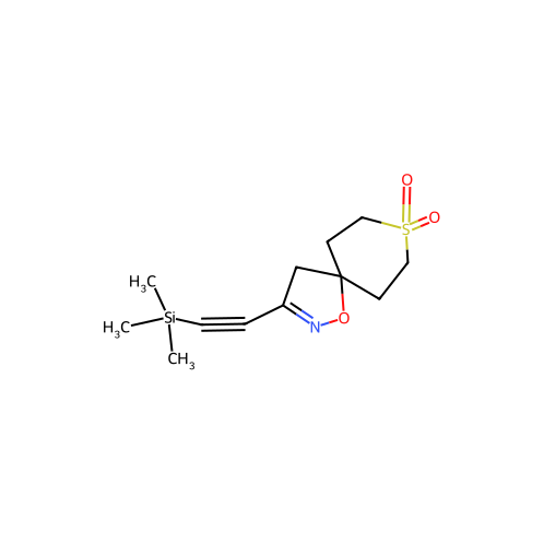 C[Si](C)(C)C#CC1=NOC2(CCS(=O)(=O)CC2)C1